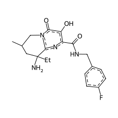 CCC1(N)CC(C)Cn2c1nc(C(=O)NCc1ccc(F)cc1)c(O)c2=O